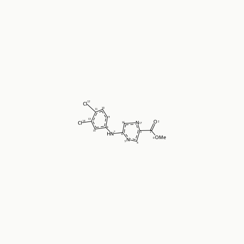 COC(=O)c1cnc(Nc2ccc(Cl)c(Cl)c2)cn1